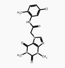 Cc1ccc(Cl)cc1NC(=O)Cn1cnc2c1c(=O)n(C)c(=O)n2C